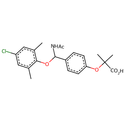 CC(=O)NC(Oc1c(C)cc(Cl)cc1C)c1ccc(OC(C)(C)C(=O)O)cc1